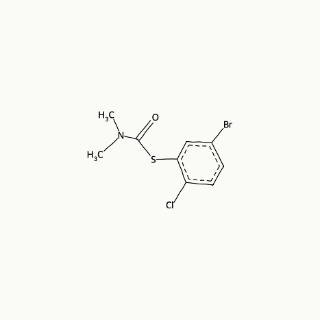 CN(C)C(=O)Sc1cc(Br)ccc1Cl